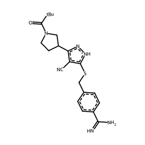 CC(C)(C)C(=O)N1CCC(c2n[nH]c(SCc3ccc(C(=N)N)cc3)c2C#N)C1